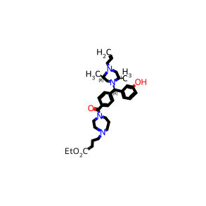 C=CCN1C[C@H](C)N([C@H](c2ccc(C(=O)N3CCCN(CCCC(=O)OCC)CC3)cc2)c2cccc(O)c2)C[C@H]1C